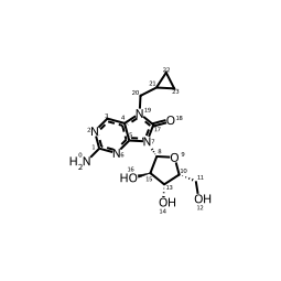 Nc1ncc2c(n1)n([C@@H]1O[C@H](CO)[C@H](O)[C@H]1O)c(=O)n2CC1CC1